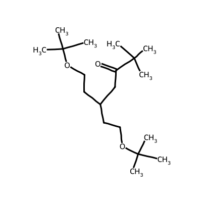 CC(C)(C)OCCC(CCOC(C)(C)C)CC(=O)C(C)(C)C